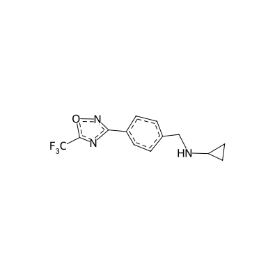 FC(F)(F)c1nc(-c2ccc(CNC3CC3)cc2)no1